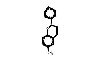 Cc1ccc2c(c1)C=C[C@H](c1ccccc1)O2